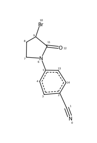 N#Cc1ccc(N2CCC(Br)C2=O)cc1